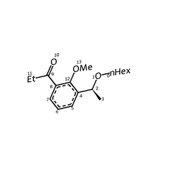 CCCCCCO[C@@H](C)c1cccc(C(=O)CC)c1OC